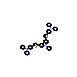 c1ccc(N(c2ccccc2)c2ccc(-c3ccc(-c4ccc5c(c4)c4cc(-c6ccc(-c7ccc(N(c8ccccc8)c8ccccc8)cc7)s6)ccc4n5-c4ccccc4)s3)cc2)cc1